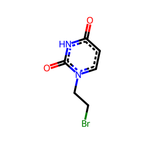 O=c1ccn(CCBr)c(=O)[nH]1